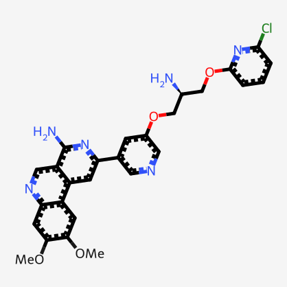 COc1cc2ncc3c(N)nc(-c4cncc(OC[C@@H](N)COc5cccc(Cl)n5)c4)cc3c2cc1OC